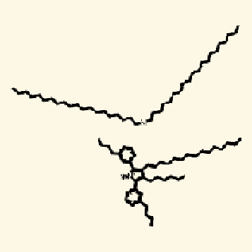 CCCCCCCCCCCCCC=CC1=C(c2cccc(CCCC)c2)[N+](=[N-])C(c2cccc(CCCC)c2)=C1CCCCCC.CCCCCCCCCCCCCCCCCCC[CH2][Ni][CH2]CCCCCCCCCCCCCCCCCCC